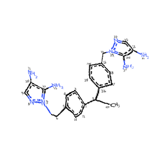 CC(c1ccc(Cn2ncc(N)c2N)cc1)c1ccc(Cn2ncc(N)c2N)cc1